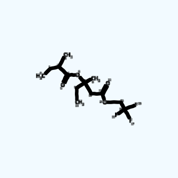 CCC(C)C(=O)OC(C)(CC)CC(=O)OCC(F)(F)F